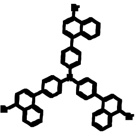 Brc1ccc(-c2ccc(N(c3ccc(-c4ccc(Br)c5ccccc45)cc3)c3ccc(-c4ccc(Br)c5ccccc45)cc3)cc2)c2ccccc12